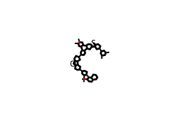 Cc1cc(C)cc(-c2ccc3sc4cc5c6cc(C)c(C)cc6c6cc(-c7ccc8oc9ccc(-c%10ccc%11c(c%10)C(C)(C)c%10ccc%12ccccc%12c%10-%11)cc9c8c7)ccc6c5cc4c3c2)c1